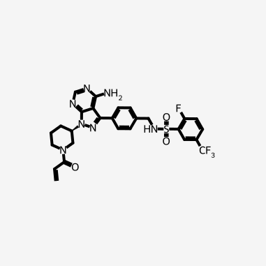 C=CC(=O)N1CCC[C@@H](n2nc(-c3ccc(CNS(=O)(=O)c4cc(C(F)(F)F)ccc4F)cc3)c3c(N)ncnc32)C1